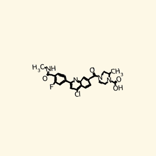 CNC(=O)c1ccc(-c2cc(Cl)c3ccc(C(=O)N4CCN(C(=O)O)C(C)C4)cc3n2)cc1F